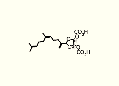 C=C(CCC=C(C)CCC=C(C)C)C1O[C@H](OC(=O)O)[C@@H](OC(=O)O)O1